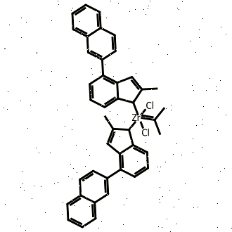 CC1=Cc2c(-c3ccc4ccccc4c3)cccc2[CH]1[Zr]([Cl])([Cl])(=[C](C)C)[CH]1C(C)=Cc2c(-c3ccc4ccccc4c3)cccc21